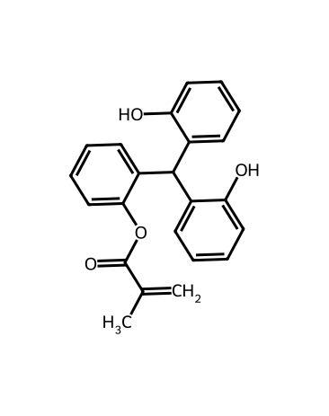 C=C(C)C(=O)Oc1ccccc1C(c1ccccc1O)c1ccccc1O